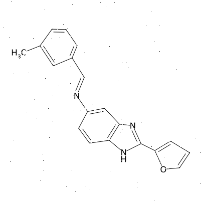 Cc1cccc(C=Nc2ccc3[nH]c(-c4ccco4)nc3c2)c1